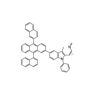 C=N/C=C\c1c(C)c2cc(-c3ccc4c(-c5ccc6ccccc6c5)c5ccccc5c(-c5cccc6ccccc56)c4c3)ccc2n1-c1ccccc1